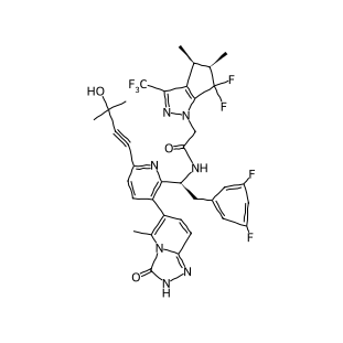 Cc1c(-c2ccc(C#CC(C)(C)O)nc2[C@H](Cc2cc(F)cc(F)c2)NC(=O)Cn2nc(C(F)(F)F)c3c2C(F)(F)[C@H](C)[C@@H]3C)ccc2n[nH]c(=O)n12